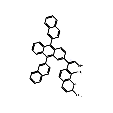 CCC/C=C(/c1ccc2c(-c3ccc4ccccc4c3)c3ccccc3c(-c3ccc4ccccc4c3)c2c1)c1ccc2c(c1N)NC(C)C=C2